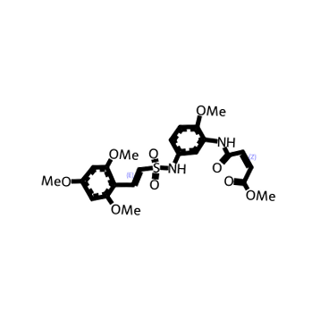 COC(=O)/C=C\C(=O)Nc1cc(NS(=O)(=O)/C=C/c2c(OC)cc(OC)cc2OC)ccc1OC